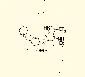 CCNc1cc(Nc2ccc(CN3CCOCC3)cc2OC)nc2[nH]cc(C(F)(F)F)c12